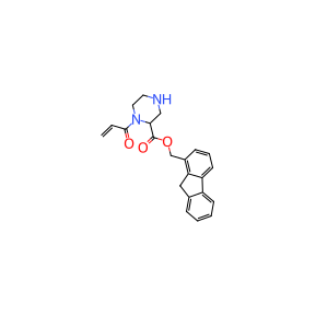 C=CC(=O)N1CCNCC1C(=O)OCc1cccc2c1Cc1ccccc1-2